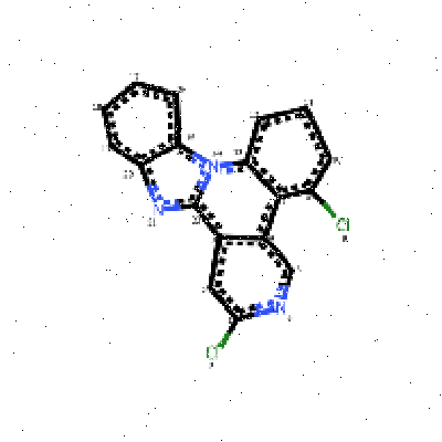 Clc1cc2c(cn1)c1c(Cl)cccc1n1c3ccccc3nc21